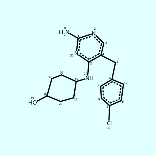 Nc1ncc(Cc2ccc(Cl)cc2)c(NC2CCC(O)CC2)n1